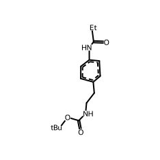 CCC(=O)Nc1ccc(CCNC(=O)OC(C)(C)C)cc1